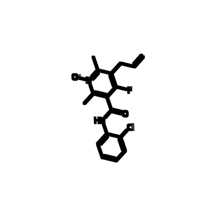 C=CCc1c(F)c(C(=O)Nc2ccccc2Cl)c(C)[n+]([O-])c1C